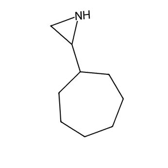 C1CCCC(C2CN2)CC1